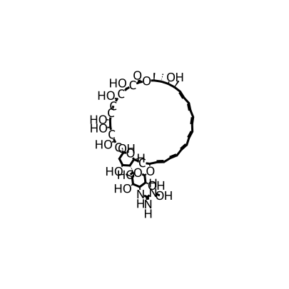 C[C@@H]1[C@H](O)[C@@H](C)/C=C/C=C/C=C/C=C/C=C/C=C/C=C/[C@H](O[C@@H]2O[C@H](C)[C@@H](O)[C@H](NC(=N)NO)[C@@H]2O)C[C@@H]2O[C@](O)(C[C@@H](O)C[C@@H](O)[C@H](O)CC[C@@H](O)C[C@@H](O)CC(=O)O[C@H]1C)C[C@H](O)[C@H]2CO